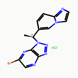 C[C@@H](c1ccc2nccn2c1)n1nnc2ncc(Br)nc21.Cl